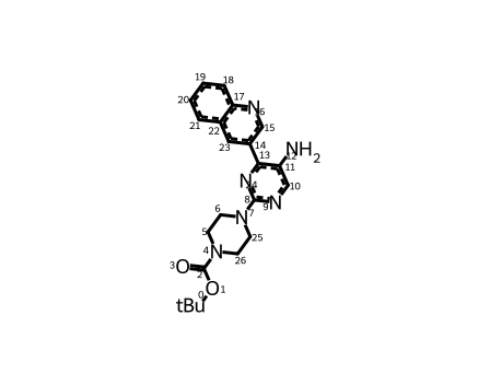 CC(C)(C)OC(=O)N1CCN(c2ncc(N)c(-c3cnc4ccccc4c3)n2)CC1